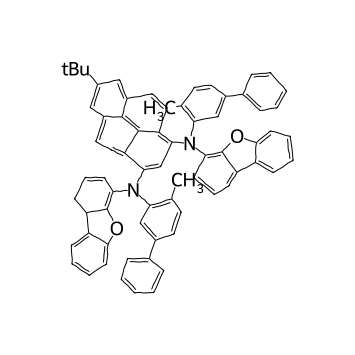 Cc1ccc(-c2ccccc2)cc1N(C1=C2Oc3ccccc3C2CC=C1)c1cc(N(c2cc(-c3ccccc3)ccc2C)c2cccc3c2oc2ccccc23)c2ccc3cc(C(C)(C)C)cc4ccc1c2c43